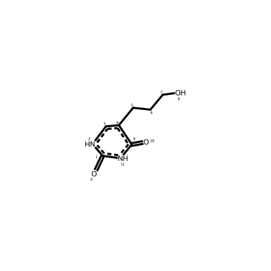 O=c1[nH]cc(CCCO)c(=O)[nH]1